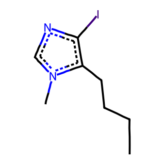 CCCCc1c(I)ncn1C